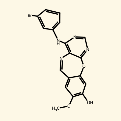 COc1cc2c(cc1O)Oc1ncnc(Nc3cccc(Br)c3)c1N=C2